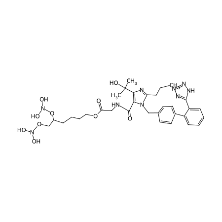 CCCc1nc(C(C)(C)O)c(C(=O)NCC(=O)OCCCCC(CON(O)O)ON(O)O)n1Cc1ccc(-c2ccccc2-c2nnn[nH]2)cc1